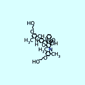 Cc1cc(OCCCO)cc(C)c1/N=c1/ccc2c(-c3ccccc3S(=O)(=O)O)c3ccc(Nc4c(C)cc(OCCCO)cc4C)cc3oc-2c1